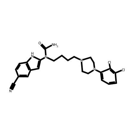 N#Cc1ccc2[nH]c(N(CCCCN3CCN(c4cccc(Cl)c4Cl)CC3)C(N)=O)cc2c1